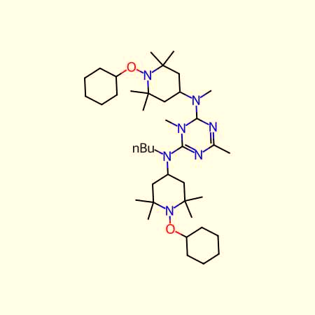 CCCCN(C1=NC(C)=NC(N(C)C2CC(C)(C)N(OC3CCCCC3)C(C)(C)C2)N1C)C1CC(C)(C)N(OC2CCCCC2)C(C)(C)C1